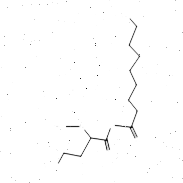 CCCCCCCCCCCCCCCCCC(=O)OC(=O)C(CCC(=O)[O-])NCCCCC.[K+]